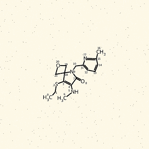 CCSC1=C(NC)C(=O)N(Cc2cccc(C)n2)C12COC2